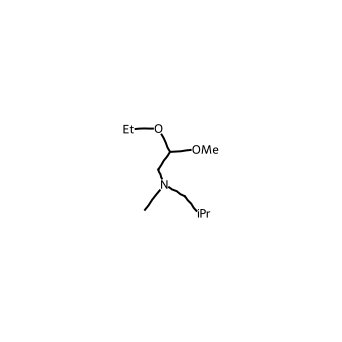 CCOC(CN(C)CC(C)C)OC